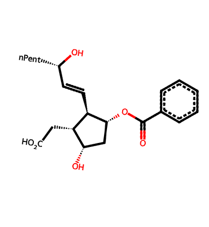 CCCCC[C@H](O)C=C[C@@H]1[C@@H](CC(=O)O)[C@@H](O)C[C@H]1OC(=O)c1ccccc1